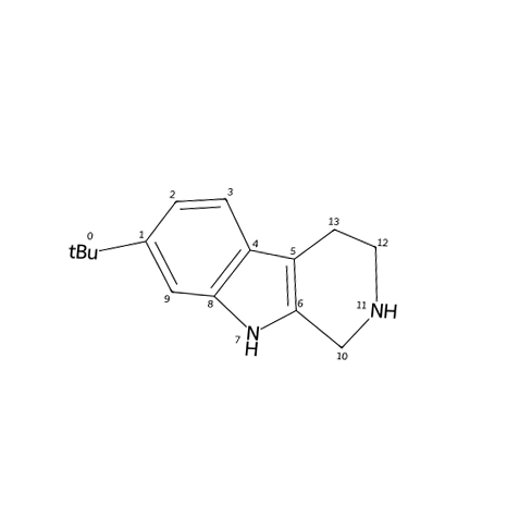 CC(C)(C)c1ccc2c3c([nH]c2c1)CNCC3